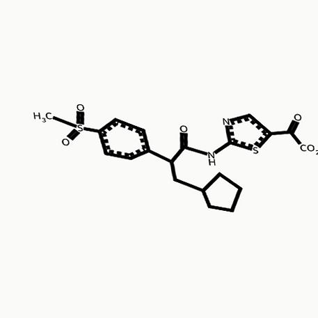 CCOC(=O)C(=O)c1cnc(NC(=O)C(CC2CCCC2)c2ccc(S(C)(=O)=O)cc2)s1